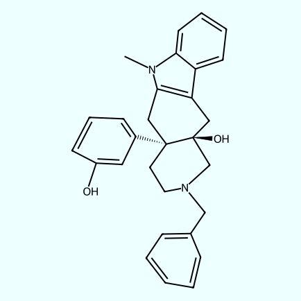 Cn1c2c(c3ccccc31)C[C@]1(O)CN(Cc3ccccc3)CC[C@@]1(c1cccc(O)c1)C2